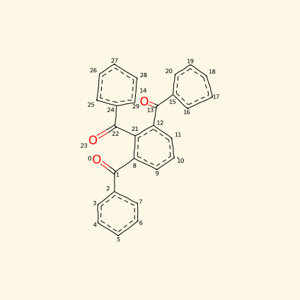 O=C(c1ccccc1)c1c[c]cc(C(=O)c2ccccc2)c1C(=O)c1ccccc1